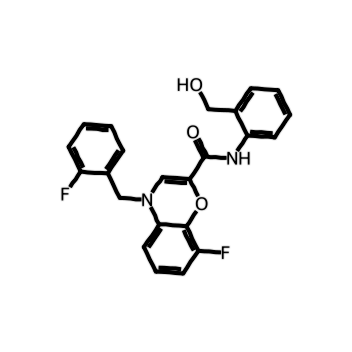 O=C(Nc1ccccc1CO)C1=CN(Cc2ccccc2F)c2cccc(F)c2O1